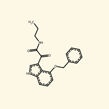 CCCNC(=O)C(=O)c1c[nH]c2cccc(OCc3ccccc3)c12